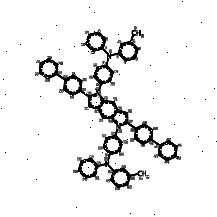 Cc1cccc(N(c2ccccc2)c2ccc(-n3c(-c4ccc(-c5ccccc5)cc4)cc4cc5c(cc(-c6ccc(-c7ccccc7)cc6)n5-c5ccc(N(c6ccccc6)c6cccc(C)c6)cc5)cc43)cc2)c1